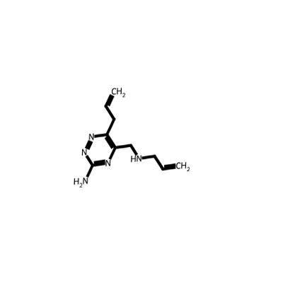 C=CCNCc1nc(N)nnc1CC=C